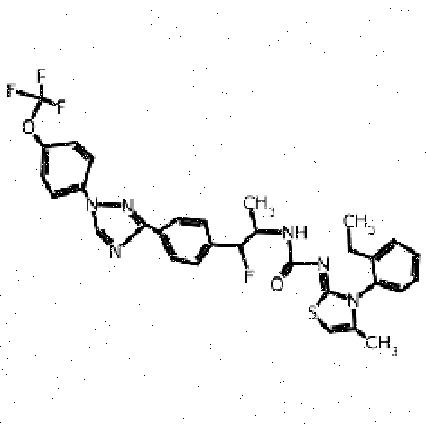 CCc1ccccc1-n1c(C)cs/c1=N\C(=O)NC(C)C(F)c1ccc(-c2ncn(-c3ccc(OC(F)(F)F)cc3)n2)cc1